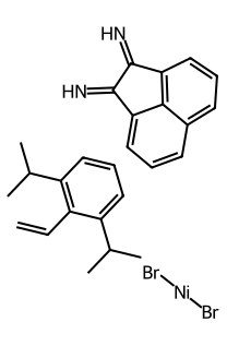 C=Cc1c(C(C)C)cccc1C(C)C.N=C1C(=N)c2cccc3cccc1c23.[Br][Ni][Br]